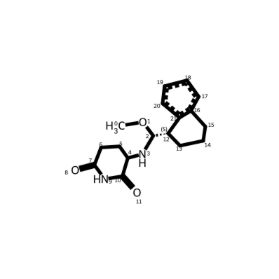 COC(NC1CCC(=O)NC1=O)[C@H]1CCCc2ccccc21